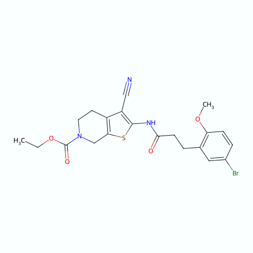 CCOC(=O)N1CCc2c(sc(NC(=O)CCc3cc(Br)ccc3OC)c2C#N)C1